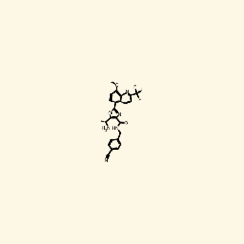 COc1ccc(-c2nc(C(=O)NCc3ccc(C#N)cc3)c([C@H](C)N)o2)c2ccc(C(F)(F)F)nc12